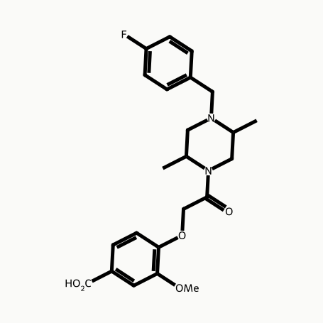 COc1cc(C(=O)O)ccc1OCC(=O)N1CC(C)N(Cc2ccc(F)cc2)CC1C